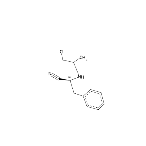 CC(CCl)N[C@H](C#N)Cc1ccccc1